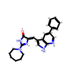 O=C1NC(N2CCCCCC2)=N/C1=C\c1c[nH]c2ncc(-c3ccccc3)cc12